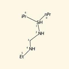 CCC[SiH](NCNCC)C(C)C